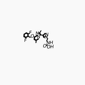 Cc1cc(OCc2c(F)cccc2F)c2nc(C)c(-c3cnn(CCNC(=O)O)c3)n2c1